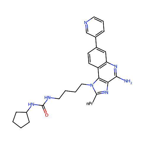 CCCc1nc2c(N)nc3cc(-c4cccnc4)ccc3c2n1CCCCNC(=O)NC1CCCC1